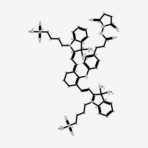 CC1(C)C(/C=C/C2=C(Oc3ccc(CCC(=O)ON4C(=O)CCC4=O)cc3)C(=C/C=C3/N(CCCCS(=O)(=O)O)c4ccccc4C3(C)C)/CCC2)=[N+](CCCCS(=O)(=O)O)c2ccccc21